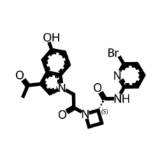 CC(=O)c1cn(CC(=O)N2CC[C@H]2C(=O)Nc2cccc(Br)n2)c2ccc(O)cc12